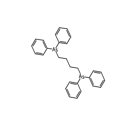 c1ccc([As](CCCC[As](c2ccccc2)c2ccccc2)c2ccccc2)cc1